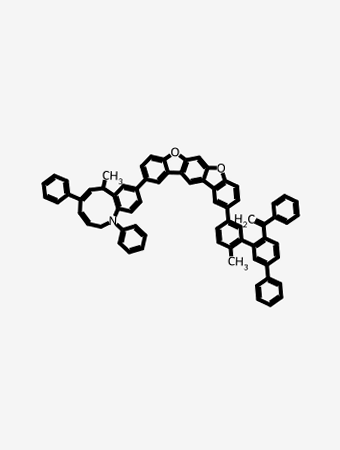 C=C(c1ccccc1)c1ccc(-c2ccccc2)cc1-c1cc(-c2ccc3oc4cc5oc6ccc(-c7ccc8c(c7)C(C)/C=C(c7ccccc7)\C=C/CN8c7ccccc7)cc6c5cc4c3c2)ccc1C